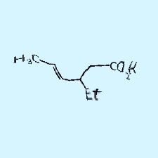 C/C=C/C(CC)CC(=O)O